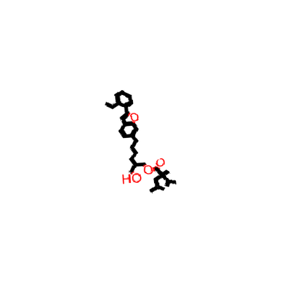 CCc1ccccc1-c1cc2ccc(CCCCC(CO)COC(=O)C(C)(CC(C)C)C(C)C)cc2o1